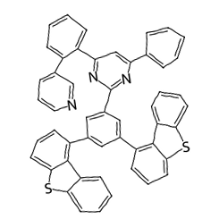 c1ccc(-c2cc(-c3ccccc3-c3cccnc3)nc(-c3cc(-c4cccc5sc6ccccc6c45)cc(-c4cccc5sc6ccccc6c45)c3)n2)cc1